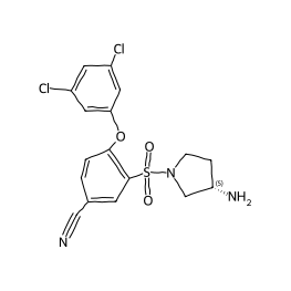 N#Cc1ccc(Oc2cc(Cl)cc(Cl)c2)c(S(=O)(=O)N2CC[C@H](N)C2)c1